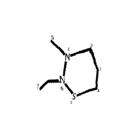 CN1CCCSN1C